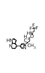 CC(C)(CCONCC(F)(F)F)n1cc(-c2ccnc3[nH]ccc23)cn1